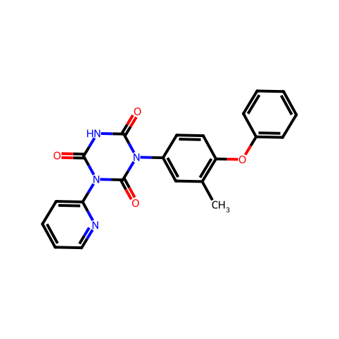 Cc1cc(-n2c(=O)[nH]c(=O)n(-c3ccccn3)c2=O)ccc1Oc1ccccc1